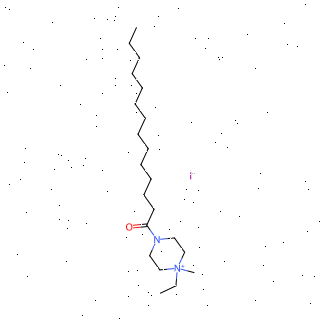 CCCCCCCCCCCCCC(=O)N1CC[N+](C)(CC)CC1.[I-]